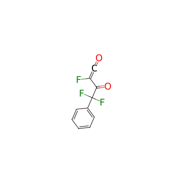 O=C=C(F)C(=O)C(F)(F)c1ccccc1